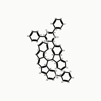 C1=C2C=c3ccccc3=C2C(C2c3ccccc3-c3ccc(-c4nc(-c5ccccc5)nc(-c5ccccc5)n4)cc32)c2c1cc1ccn(-c3ccccc3)cc2-1